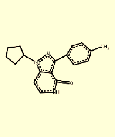 Cc1ccc(-c2nn(C3CCCC3)c3cc[nH]c(=O)c23)cc1